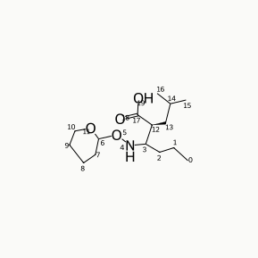 CCCC(NOC1CCCCO1)[C@H](CC(C)C)C(=O)O